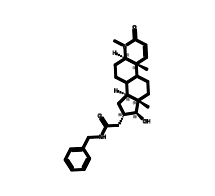 CN1C(=O)C=C[C@]2(C)C3CC[C@@]4(C)[C@@H](C[C@@H](CC(=O)NCc5ccccc5)[C@@H]4O)C3CC[C@@H]12